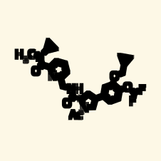 CC(=O)N1CC(c2ccc(OC(F)F)c(OCC3CC3)c2)C[C@@H]1C(=O)NCc1cccc(C(=O)N(C)C2CC2)n1